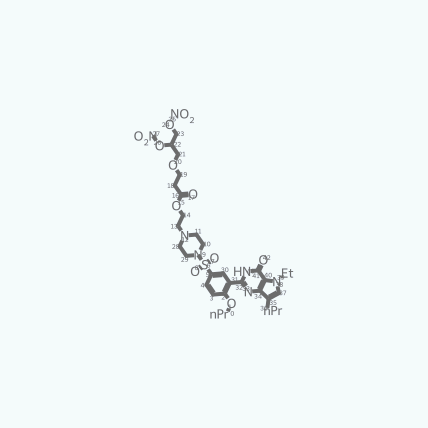 CCCOc1ccc(S(=O)(=O)N2CCN(CCOC(=O)CCOCC(CO[N+](=O)[O-])O[N+](=O)[O-])CC2)cc1-c1nc2c(CCC)cn(CC)c2c(=O)[nH]1